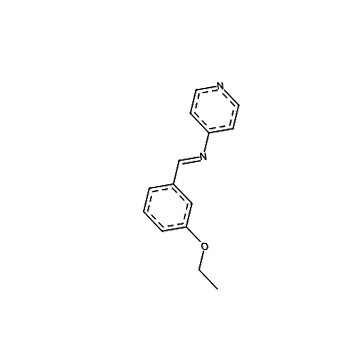 CCOc1cccc(/C=N/c2ccncc2)c1